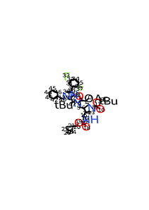 CC(=O)OCC(=O)N(CC1CN(C(=O)OC(C)(C)C)CC1CNC(=O)OCC[Si](C)(C)C)C(c1nc(-c2cc(F)ccc2F)cn1Cc1ccccc1)C(C)(C)C